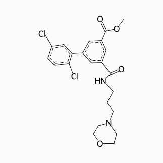 COC(=O)c1cc(C(=O)NCCCN2CCOCC2)cc(-c2cc(Cl)ccc2Cl)c1